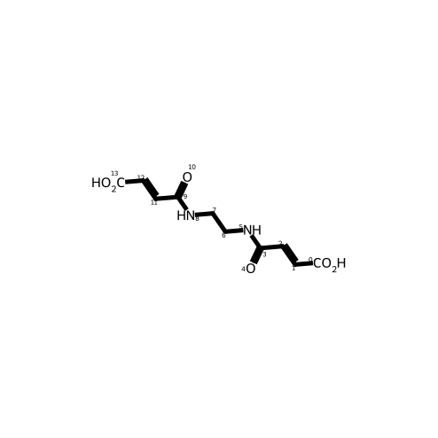 O=C(O)C=CC(=O)NCCNC(=O)C=CC(=O)O